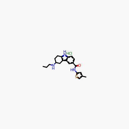 CCCNC1CCc2[nH]c3ccc(C(=O)Nc4cc(C)cs4)cc3c2C1.Cl